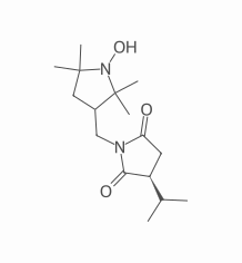 CC(C)[C@@H]1CC(=O)N(CC2CC(C)(C)N(O)C2(C)C)C1=O